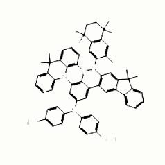 CCCCc1ccc(N(c2ccc(CCCC)cc2)c2cc3c4c(c2)N2c5ccccc5C(C)(C)c5cccc(c52)B4N(c2cc4c(cc2C)C(C)(C)CCC4(C)C)c2cc4c(cc2-3)-c2ccccc2C4(C)C)cc1